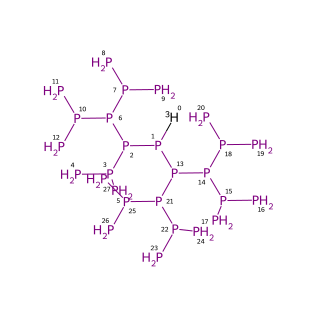 [3H]P(P(P(P)P)P(P(P)P)P(P)P)P(P(P(P)P)P(P)P)P(P(P)P)P(P)P